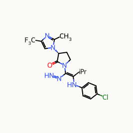 Cc1nc(C(F)(F)F)cn1[C@H]1CCN(/C(N=N)=C(/Nc2ccc(Cl)cc2)C(C)C)C1=O